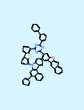 c1ccc(-c2cccc(-c3nc(-c4ccc5c(c4)oc4cc6ccccc6cc45)nc(-c4cccc5c4sc4c(-n6c7ccccc7c7c8ccccc8c(-c8ccccc8)cc76)cccc45)n3)c2)cc1